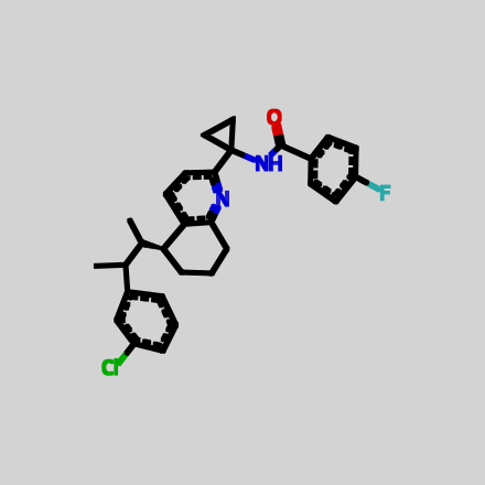 CC(c1cccc(Cl)c1)C(C)[C@@H]1CCCc2nc(C3(NC(=O)c4ccc(F)cc4)CC3)ccc21